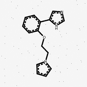 c1ccc(-c2cnc[nH]2)c(OCCn2cccc2)c1